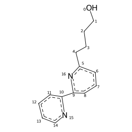 OCCCCc1cccc(-c2ccccn2)n1